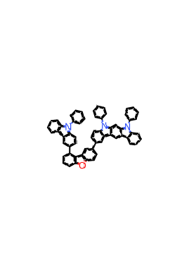 c1ccc(-n2c3ccccc3c3cc(-c4cccc5oc6ccc(-c7ccc8c(c7)c7cc9c%10ccccc%10n(-c%10ccccc%10)c9cc7n8-c7ccccc7)cc6c45)ccc32)cc1